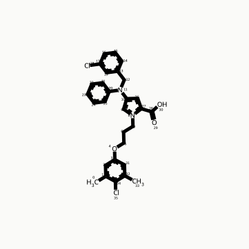 Cc1cc(OCCCn2cc(N(Cc3cccc(Cl)c3)c3ccccc3)cc2C(=O)O)cc(C)c1Cl